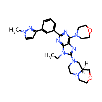 CCn1c(N2CCN3CCOC[C@@H]3C2)nc2c(N3CCOCC3)nc(-c3cccc(-c4ccn(C)n4)c3)nc21